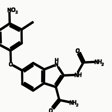 Cc1cc(Oc2ccc3c(C(N)=O)c(NC(N)=O)[nH]c3c2)ccc1[N+](=O)[O-]